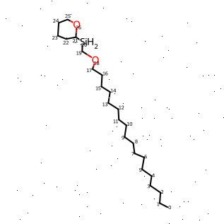 CCCCCCCCCCCCCCCCCCOC[SiH2]C1CCCCO1